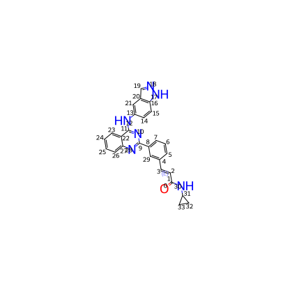 O=C(/C=C/c1cccc(-c2nc(Nc3ccc4[nH]ncc4c3)c3ccccc3n2)c1)NC1CC1